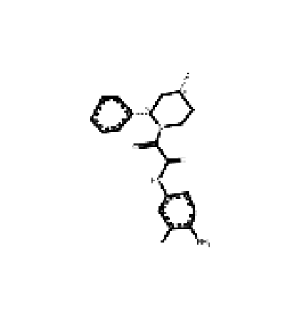 Cc1cc(NC(=O)C(=O)N2CC[C@@H](C)C[C@H]2c2ccccc2)cnc1N